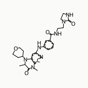 CC1C(=O)N(C)c2cnc(Nc3cccc(C(=O)NCCN4CCNC4=O)c3)cc2N1C1CCOCC1